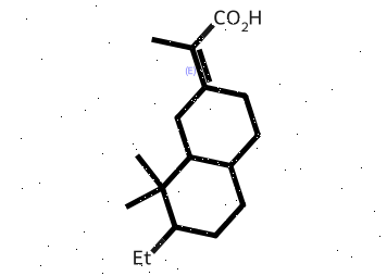 CCC1CCC2CC/C(=C(/C)C(=O)O)CC2C1(C)C